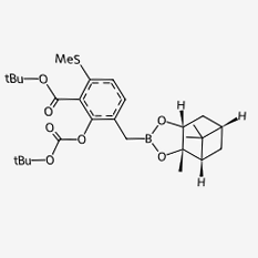 CSc1ccc(CB2O[C@@H]3C[C@@H]4C[C@@H](C4(C)C)[C@]3(C)O2)c(OC(=O)OC(C)(C)C)c1C(=O)OC(C)(C)C